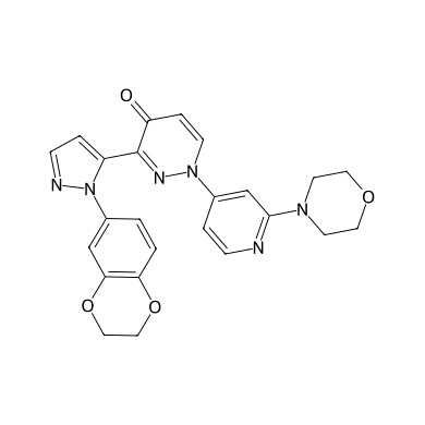 O=c1ccn(-c2ccnc(N3CCOCC3)c2)nc1-c1ccnn1-c1ccc2c(c1)OCCO2